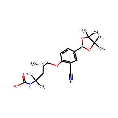 C[C@H](COc1ccc(B2OC(C)(C)C(C)(C)O2)cc1C#N)CC(C)(C)NC(=O)O